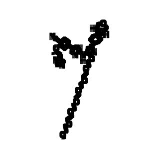 COCCOCCOCCOCCOCCOCCOCCOc1nn(C2CCC(N3[C@@H]4CC[C@H]3COC4)CC2)cc1Nc1ncc(-c2ccc(C#N)c(O[C@@H](C)Cn3cncn3)c2)cn1